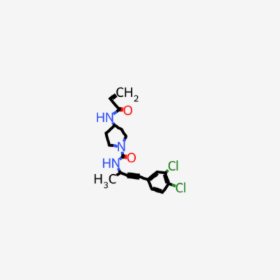 C=CC(=O)NC1CCN(C(=O)NC(C)C#Cc2ccc(Cl)c(Cl)c2)CC1